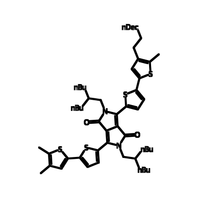 CCCCCCCCCCCCc1cc(-c2ccc(C3=C4C(=O)N(CC(CCCC)CCCC)C(c5ccc(-c6cc(C)c(C)s6)s5)=C4C(=O)N3CC(CCCC)CCCC)s2)sc1C